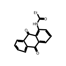 CCC(=O)Nc1cccc2c1C(=O)c1ccccc1C2=O